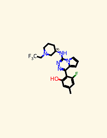 Cc1cc(O)c(-c2nnc(N[C@@H]3CCCN(CC(F)(F)F)C3)n3cccc23)c(F)c1